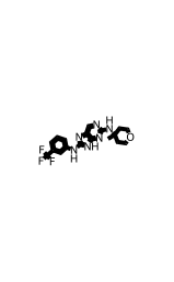 CC1(Nc2ncc3nc(Nc4cccc(C(F)(F)F)c4)[nH]c3n2)CCOCC1